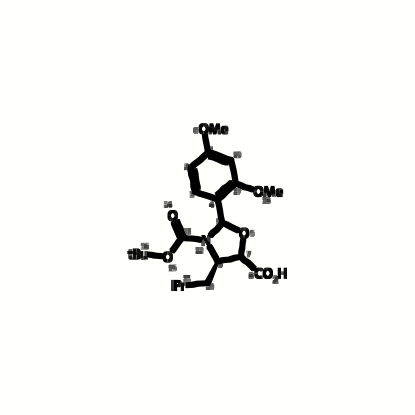 COc1ccc(C2OC(C(=O)O)[C@@H](CC(C)C)N2C(=O)OC(C)(C)C)c(OC)c1